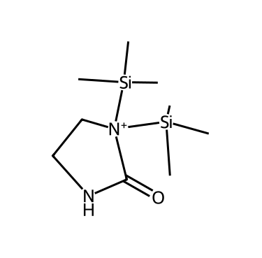 C[Si](C)(C)[N+]1([Si](C)(C)C)CCNC1=O